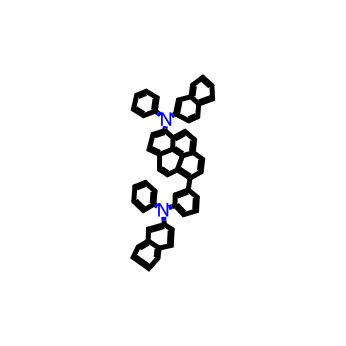 c1ccc(N(c2cccc(-c3ccc4ccc5c(N(c6ccccc6)c6ccc7ccccc7c6)ccc6ccc3c4c65)c2)c2ccc3ccccc3c2)cc1